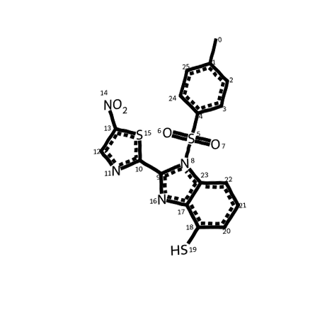 Cc1ccc(S(=O)(=O)n2c(-c3ncc([N+](=O)[O-])s3)nc3c(S)cccc32)cc1